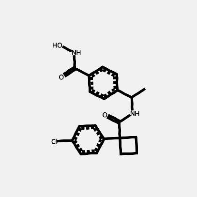 CC(NC(=O)C1(c2ccc(Cl)cc2)CCC1)c1ccc(C(=O)NO)cc1